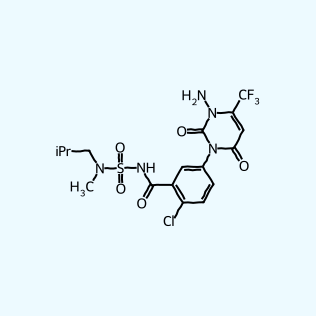 CC(C)CN(C)S(=O)(=O)NC(=O)c1cc(-n2c(=O)cc(C(F)(F)F)n(N)c2=O)ccc1Cl